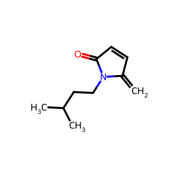 C=C1C=CC(=O)N1CCC(C)C